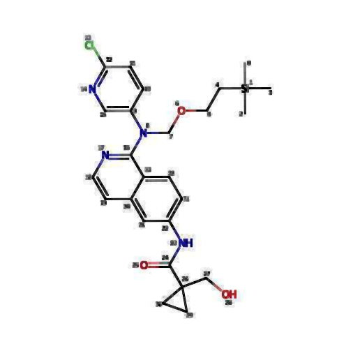 C[Si](C)(C)CCOCN(c1ccc(Cl)nc1)c1nccc2cc(NC(=O)C3(CO)CC3)ccc12